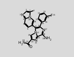 Cc1cnc2ccc(-c3c(-c4cccc(F)c4)nc(N)c4nc(C(N)=O)cn34)cn12